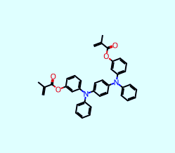 C=C(C)C(=O)Oc1cccc(N(c2ccccc2)c2ccc(N(c3ccccc3)c3cccc(OC(=O)C(=C)C)c3)cc2)c1